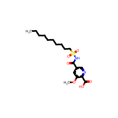 CCCCCCCCCCS(=O)(=O)NC(=O)c1cnc(C(=O)O)c(OC)c1